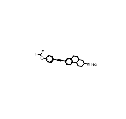 CCCCCCC1CCC2c3ccc(C#Cc4ccc(OC(F)F)cc4)cc3CCC2C1